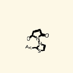 CC(=O)C1SC=CN1N1C(=O)C=CC1=O